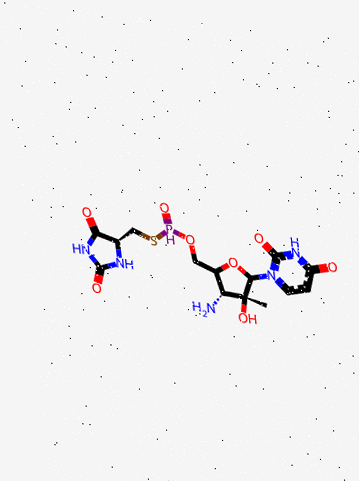 C[C@]1(O)C(n2ccc(=O)[nH]c2=O)OC(CO[PH](=O)SC[C@H]2NC(=O)NC2=O)[C@H]1N